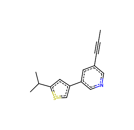 CC#Cc1cncc(-c2csc(C(C)C)c2)c1